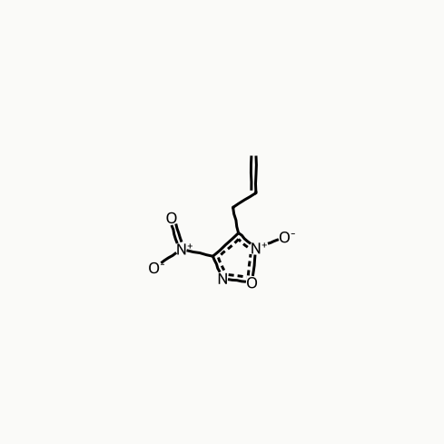 C=CCc1c([N+](=O)[O-])no[n+]1[O-]